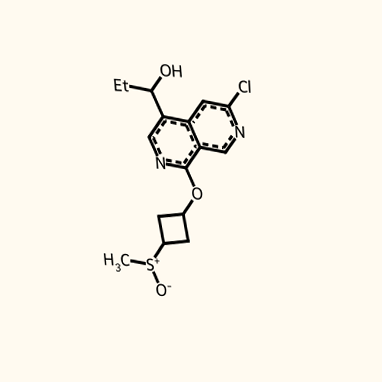 CCC(O)c1cnc(OC2CC([S+](C)[O-])C2)c2cnc(Cl)cc12